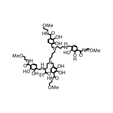 CCC(=O)C(CCN(CCCCN(CCCNCc1ccc(C(=O)NCCOC)c(O)c1O)Cc1ccc(C(=O)NCCOC)c(O)c1O)Cc1ccc(C(=O)NCCOC)c(O)c1O)NCc1ccc(C(=O)NCCOC)c(O)c1O